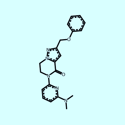 CN(C)c1cccc(N2CCn3nc(COc4ccccc4)cc3C2=O)n1